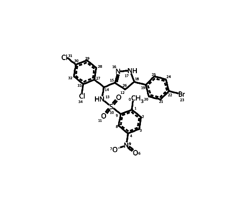 Cc1ccc([N+](=O)[O-])cc1S(=O)(=O)NC(C1=NNC(c2ccc(Br)cc2)C1)c1ccc(Cl)cc1Cl